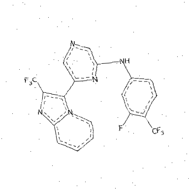 Fc1cc(Nc2cncc(-c3c(C(F)(F)F)nc4ccccn34)n2)ccc1C(F)(F)F